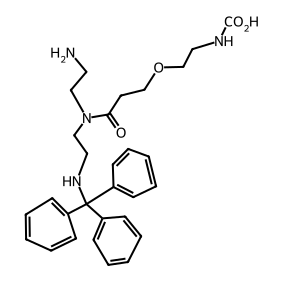 NCCN(CCNC(c1ccccc1)(c1ccccc1)c1ccccc1)C(=O)CCOCCNC(=O)O